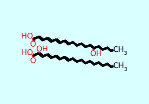 CCCCCC(O)CCCCCC=CC=CC=CC=CC(=O)O.CCCCCCCCCCCC=CC=CC=CC=C(O)C(=O)O